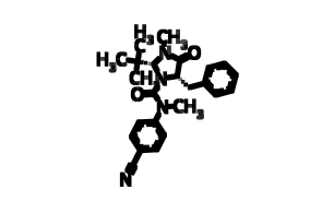 CN(C(=O)N1[C@H](C(C)(C)C)N(C)C(=O)[C@@H]1Cc1ccccc1)c1ccc(C#N)cc1